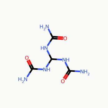 NC(=O)NC(NC(N)=O)NC(N)=O